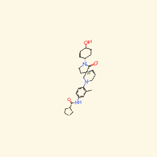 Cc1cc(NC(=O)C2CCCC2)ccc1N1CCC[C@]2(CCN([C@H]3CC[C@H](O)CC3)C2=O)C1